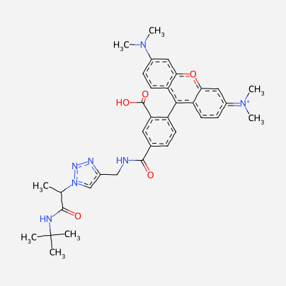 CC(C(=O)NC(C)(C)C)n1cc(CNC(=O)c2ccc(-c3c4ccc(=[N+](C)C)cc-4oc4cc(N(C)C)ccc34)c(C(=O)O)c2)nn1